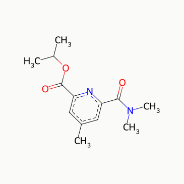 Cc1cc(C(=O)OC(C)C)nc(C(=O)N(C)C)c1